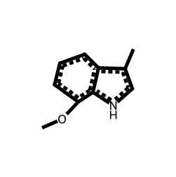 COc1cccc2c(C)c[nH]c12